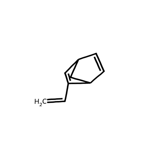 C=CC1=CC2C=CC1C2